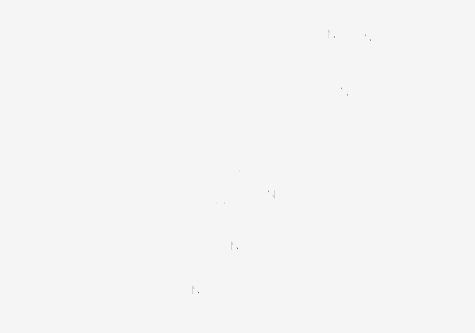 O=S(=O)(c1cccc(C(F)(F)F)c1)N(c1cccc2nccn12)[C@H]1CCC[C@@H](n2cnnc2)C1